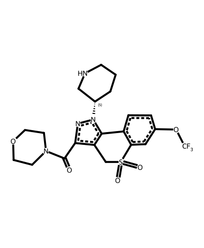 O=C(c1nn([C@H]2CCCNC2)c2c1CS(=O)(=O)c1cc(OC(F)(F)F)ccc1-2)N1CCOCC1